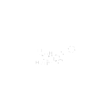 O=c1nc2n(cc1NCc1ccccc1)[C@@H]1O[C@H](CO)[C@@H](O)[C@@H]1O2